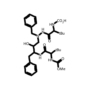 COC(=O)NC(C(=O)NC(Cc1ccccc1)C(O)CN(Cc1ccccc1)NC(=O)C(NC(=O)O)C(C)(C)C)C(C)(C)C